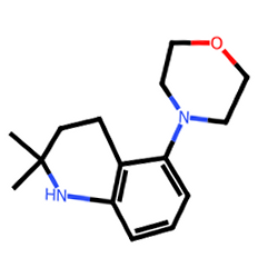 CC1(C)CCc2c(cccc2N2CCOCC2)N1